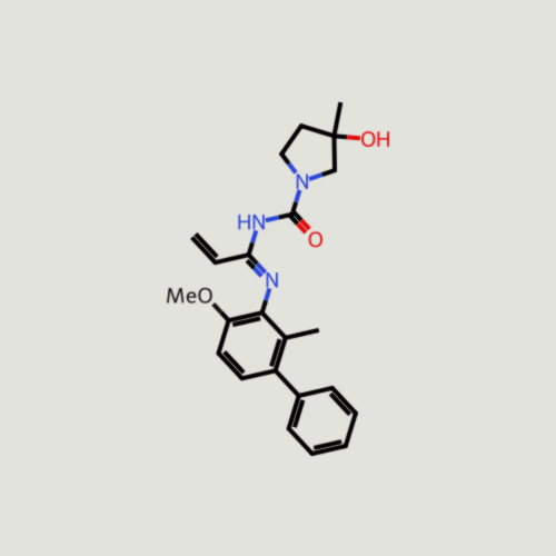 C=C/C(=N\c1c(OC)ccc(-c2ccccc2)c1C)NC(=O)N1CCC(C)(O)C1